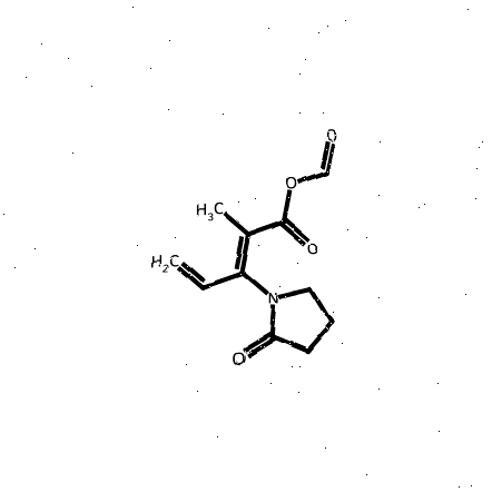 C=CC(=C(C)C(=O)OC=O)N1CCCC1=O